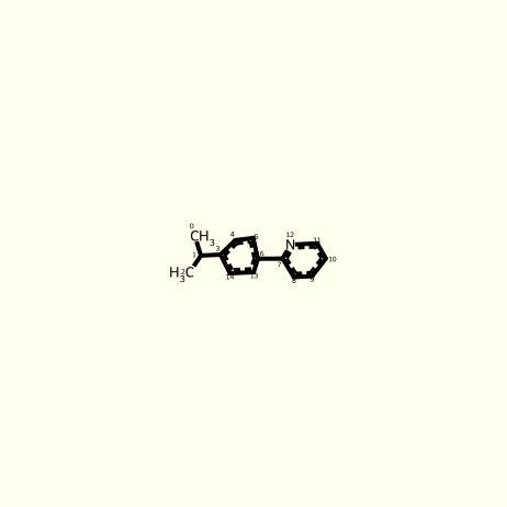 CC(C)c1ccc(-c2ccccn2)cc1